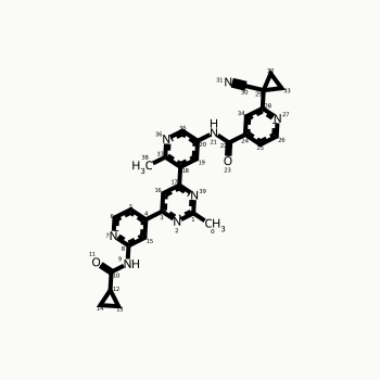 Cc1nc(-c2ccnc(NC(=O)C3CC3)c2)cc(-c2cc(NC(=O)c3ccnc(C4(C#N)CC4)c3)cnc2C)n1